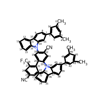 Cc1cc(C)cc(-c2ccc3c4ccccc4n(-c4cc(-c5ccc(C#N)cc5C(F)(F)F)c(-n5c6ccccc6c6ccc(-c7cc(C)cc(C)c7)cc65)cc4C#N)c3c2)c1